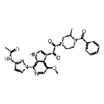 COc1cnc(-n2ccc(NC(C)=O)n2)c2[nH]cc(C(=O)C(=O)N3CCN(C(=O)c4ccccc4)C(C)C3)c12